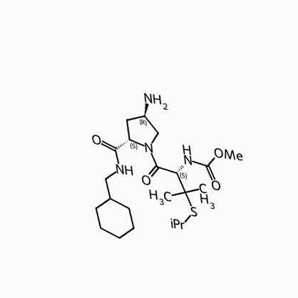 COC(=O)N[C@@H](C(=O)N1C[C@H](N)C[C@H]1C(=O)NCC1CCCCC1)C(C)(C)SC(C)C